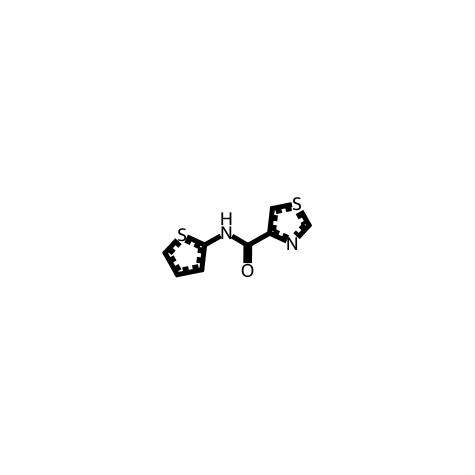 O=C(Nc1cccs1)c1cscn1